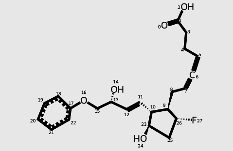 O=C(O)CCC=C=CC[C@@H]1[C@@H](/C=C/[C@@H](O)COc2ccccc2)[C@H](O)C[C@H]1F